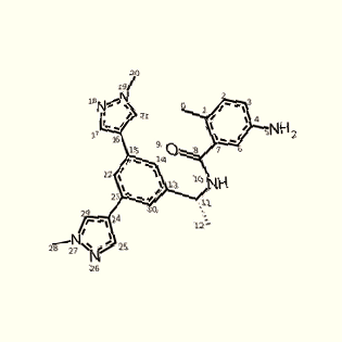 Cc1ccc(N)cc1C(=O)N[C@H](C)c1cc(-c2cnn(C)c2)cc(-c2cnn(C)c2)c1